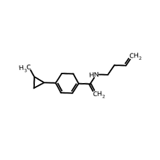 C=CCCNC(=C)C1=CC=C(C2CC2C)CC1